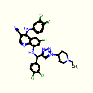 CCN1CCC(n2cc(C(Nc3cc(Cl)cc4c(Nc5ccc(F)c(Cl)c5)c(C#N)cnc34)c3ccc(Cl)c(Cl)c3)nn2)CC1